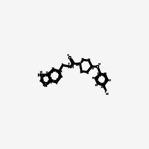 O=C(NCc1ccc2nc[nH]c2c1)N1CCC(Oc2ccc(F)cc2)CC1